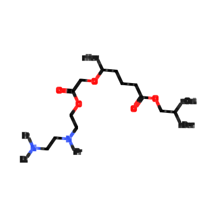 CCCCCCCCCCC(CCCCCCCC)COC(=O)CCCC(CCCCCC)OCC(=O)OCCN(CCN(CC)CC)C(C)C